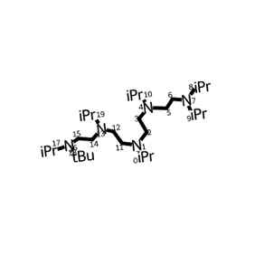 CC(C)N(CCN(CCN(C(C)C)C(C)C)C(C)C)CCN(CCN(C(C)C)C(C)(C)C)C(C)C